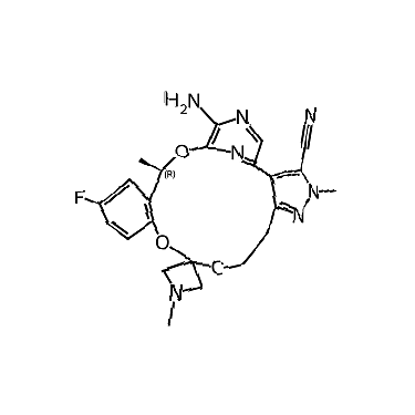 C[C@H]1Oc2nc(cnc2N)-c2c(nn(C)c2C#N)CCCC2(CN(C)C2)Oc2ccc(F)cc21